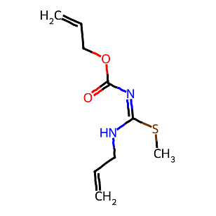 C=CCN/C(=N\C(=O)OCC=C)SC